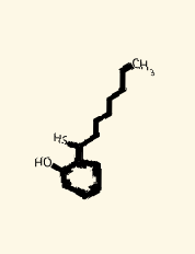 CCCCCCCC(S)c1ccccc1O